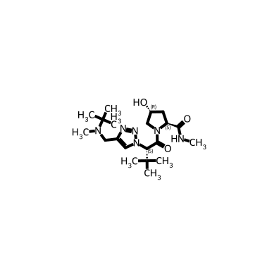 CNC(=O)[C@@H]1C[C@@H](O)CN1C(=O)[C@@H](n1cc(CN(C)C(C)(C)C)nn1)C(C)(C)C